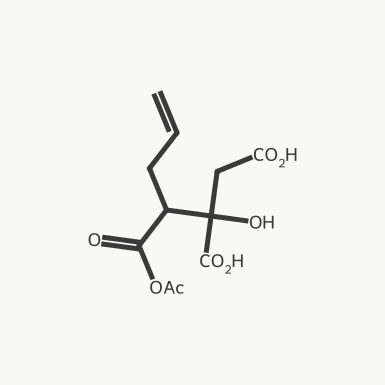 C=CCC(C(=O)OC(C)=O)C(O)(CC(=O)O)C(=O)O